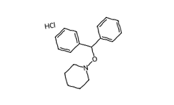 Cl.c1ccc(C(ON2CCCCC2)c2ccccc2)cc1